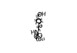 CC(C)(C)OC(=O)NCCO[C@H]1CC[C@H](CO)CC1